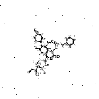 C=CC(=O)N1[C@H](C)CN(c2nc(=O)n3c4c(c(-c5ccc(F)cc5)c(C)cc24)SC[C@@H](OCc2ccccc2)C3)C[C@@H]1C